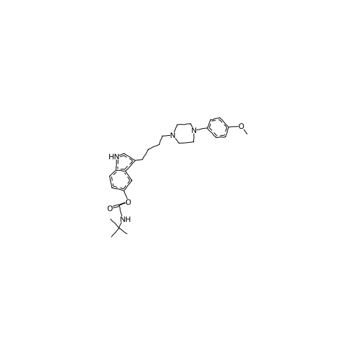 COc1ccc(N2CCN(CCCCc3c[nH]c4ccc(OC(=O)NC(C)(C)C)cc34)CC2)cc1